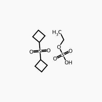 CCOS(=O)(=O)O.O=S(=O)(C1CCC1)C1CCC1